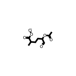 CC(=O)OC(C=O)CCC(C)C(=O)OCl